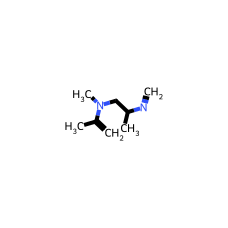 C=NC(C)CN(C)C(=C)C